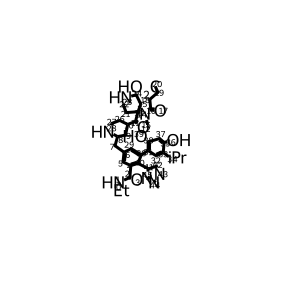 CCNC(=O)c1cc(CC2CC(C(=O)C3(N(C)C(=O)CCC(=O)O)CCNCC3)CCN2)cc(-c2cc(C(C)C)c(O)cc2O)c1C1C=NN=N1